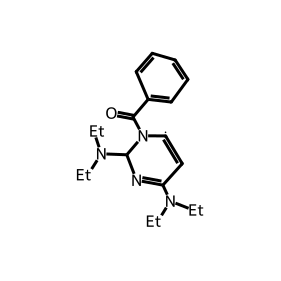 CCN(CC)C1=NC(N(CC)CC)N(C(=O)c2ccccc2)[C]=C1